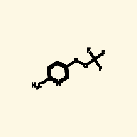 Cc1ccc(SOC(F)(F)F)cn1